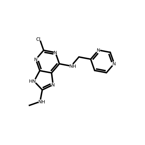 CNc1nc2c(NCc3ccncn3)nc(Cl)nc2[nH]1